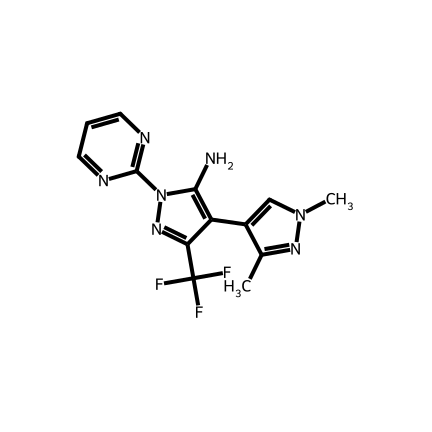 Cc1nn(C)cc1-c1c(C(F)(F)F)nn(-c2ncccn2)c1N